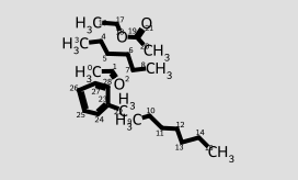 CC=O.CCCCCC.CCCCCCC.CCOC(C)=O.Cc1ccccc1